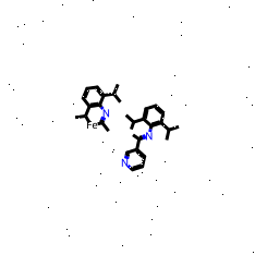 CC(=Nc1c(C(C)C)cccc1C(C)C)c1cccnc1.C[C]([Fe])=Nc1c(C(C)C)cccc1C(C)C